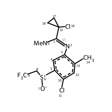 CN/C(=N\c1cc([S+]([O-])CC(F)(F)F)c(Cl)cc1C)C1(Cl)CC1